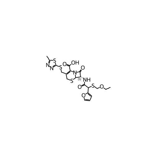 CCOCSC(C(=O)N[C@H]1C(=O)N2C(C(=O)O)=C(CSc3nnc(C)s3)CSC12)c1ccco1